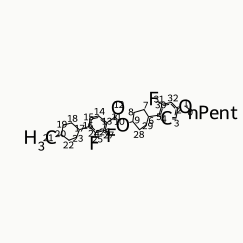 CCCCCOc1ccc(C2CCC(OC(=O)c3ccc(C4CCC(C)CC4)c(F)c3F)CC2)c(F)c1